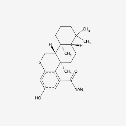 CNC(=O)c1cc(O)cc2c1[C@]1(C)CC[C@H]3C(C)(C)CCC[C@]3(C)[C@H]1CS2